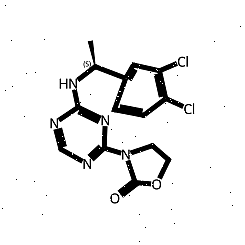 C[C@H](Nc1ncnc(N2CCOC2=O)n1)c1ccc(Cl)c(Cl)c1